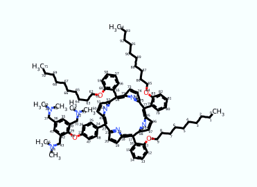 CCCCCCCCCCOc1ccccc1C1=C2C=CC(=N2)C(c2ccc(Oc3c(CN(C)C)cc(CN(C)C)cc3CN(C)C)cc2)=C2C=CC(=N2)C(c2ccccc2OCCCCCCCCCC)=C2C=CC(=N2)C(c2ccccc2OCCCCCCCCCC)=C2C=CC1=N2